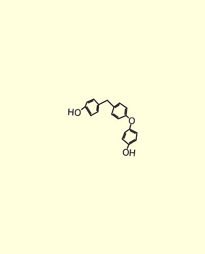 Oc1ccc(Cc2ccc(Oc3ccc(O)cc3)cc2)cc1